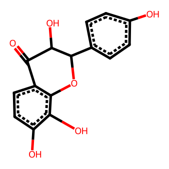 O=C1c2ccc(O)c(O)c2OC(c2ccc(O)cc2)C1O